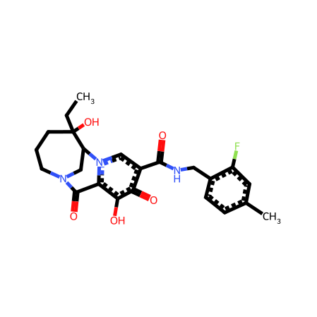 CCC1(O)CCCN2CC1n1cc(C(=O)NCc3ccc(C)cc3F)c(=O)c(O)c1C2=O